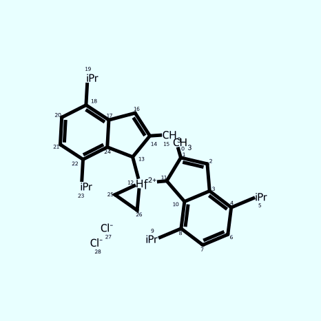 CC1=Cc2c(C(C)C)ccc(C(C)C)c2[CH]1[Hf+2]1([CH]2C(C)=Cc3c(C(C)C)ccc(C(C)C)c32)[CH2][CH2]1.[Cl-].[Cl-]